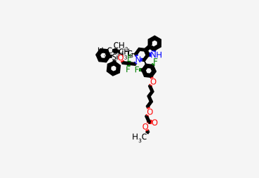 CCOC(=O)COCCCCCOc1cc(F)c([C@@H]2c3[nH]c4ccccc4c3C[C@@H](C)N2CC(F)(F)CO[Si](c2ccccc2)(c2ccccc2)C(C)(C)C)c(F)c1